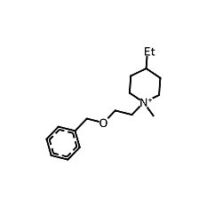 CCC1CC[N+](C)(CCOCc2ccccc2)CC1